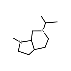 CC(C)N1CCC2CCN(C)C2C1